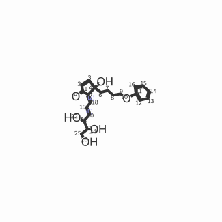 O=C1C=CC(O)(CCCCOc2ccccc2)/C1=C/C=C/C(O)C(O)CO